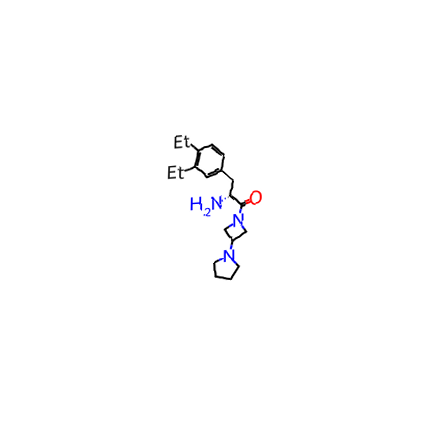 CCc1ccc(C[C@@H](N)C(=O)N2CC(N3CCCC3)C2)cc1CC